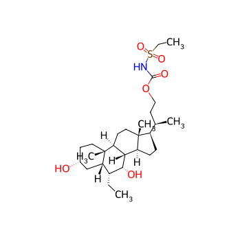 CC[C@H]1[C@@H](O)[C@@H]2[C@H](CC[C@]3(C)[C@@H]([C@H](C)CCOC(=O)NS(=O)(=O)CC)CC[C@@H]23)[C@@]2(C)CC[C@@H](O)C[C@@H]12